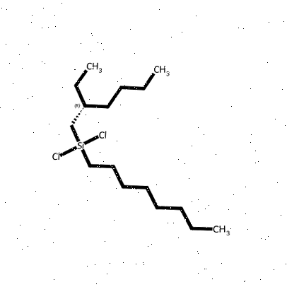 CCCCCCCC[Si](Cl)(Cl)C[C@H](CC)CCCC